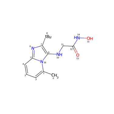 Cc1cccc2nc(C(C)(C)C)c(NCC(=O)NO)n12